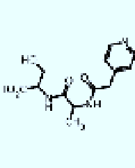 CC(NC(=O)Cc1ccncc1)C(=O)NC(CO)C(=O)O